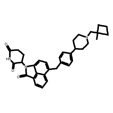 CC1(CN2CCC(c3ccc(Cc4ccc5c6c(cccc46)C(=O)N5C4CCC(=O)NC4=O)cc3)CC2)CCC1